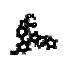 CN1Cc2ccc(-c3nc(C#N)ccc3-c3cnn(CC4(C)CCCC4)c3)cc2C1=O